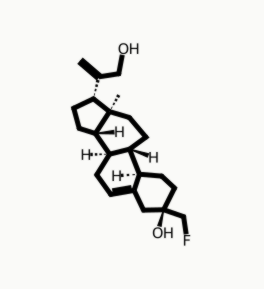 C=C(CO)[C@H]1CC[C@H]2[C@@H]3CC=C4C[C@@](O)(CF)CC[C@@H]4[C@H]3CC[C@]12C